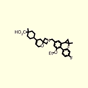 CCOc1cc(CN2CC3(CC(C4CCC(C)(C(=O)O)CC4)=CCO3)C2)cc(C2CC2(C)F)c1-c1ccc(F)cc1